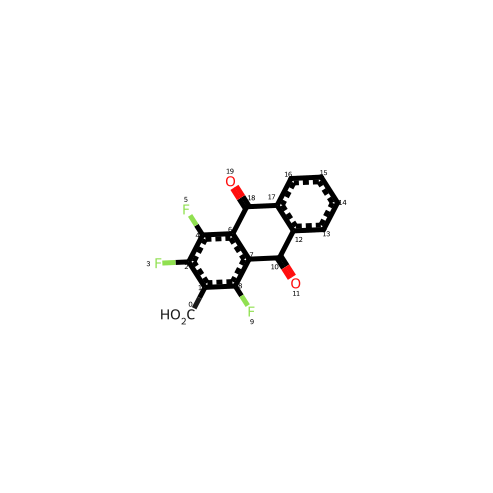 O=C(O)c1c(F)c(F)c2c(c1F)C(=O)c1ccccc1C2=O